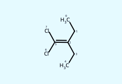 CCC(CC)=C(Cl)Cl